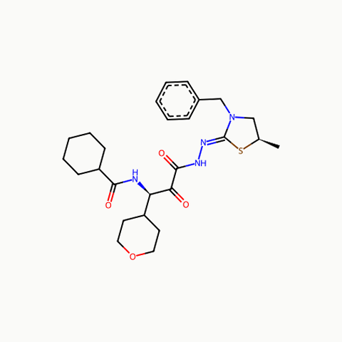 C[C@@H]1CN(Cc2ccccc2)/C(=N/NC(=O)C(=O)[C@H](NC(=O)C2CCCCC2)C2CCOCC2)S1